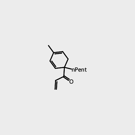 C=CC(=O)C1(CCCCC)C=CC(C)=CC1